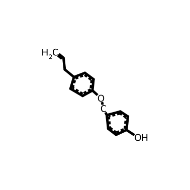 C=CCc1ccc(OCc2ccc(O)cc2)cc1